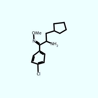 CON=C(c1ccc(Cl)cc1)C(N)CC1CCCC1